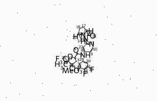 COc1c([C@H]2[C@H](C(=O)Nc3ccnc(N4C[C@@H]5CC[C@@H](N5)C4=O)c3)O[C@@](C)(C(F)(F)F)[C@H]2C)ccc(F)c1F